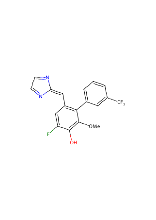 COc1c(O)c(F)cc(C=C2N=CC=N2)c1-c1cccc(C(F)(F)F)c1